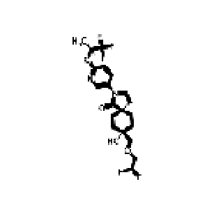 C[C@H](Oc1ccc(N2CC[C@]3(CC[C@](O)(COCC(F)F)CC3)C2=O)cn1)C(F)(F)F